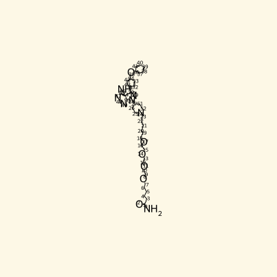 NC(=O)CCCCCOCCOCCOCCOCCCCCCN1CCC(n2nc(-c3ccc(Oc4ccccc4)cc3)c3c(N)ncnc32)CC1